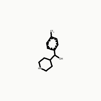 OC(c1ccc(C(F)(F)F)cc1)C1CCNCC1